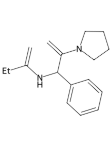 C=C(CC)NC(C(=C)N1CCCC1)c1ccccc1